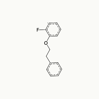 Fc1[c]cccc1OCCc1ccccc1